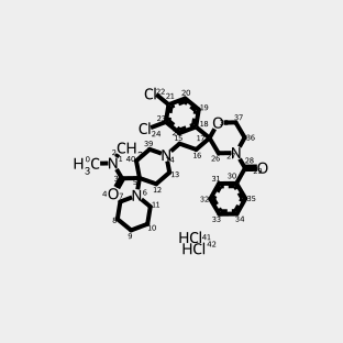 CN(C)C(=O)C1(N2CCCCC2)CCN(CCC2(c3ccc(Cl)c(Cl)c3)CN(C(=O)c3ccccc3)CCO2)CC1.Cl.Cl